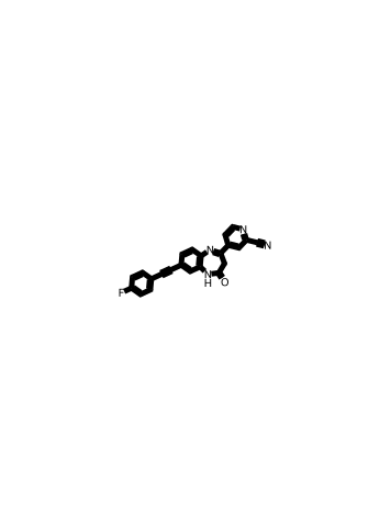 N#Cc1cc(C2=Nc3ccc(C#Cc4ccc(F)cc4)cc3NC(=O)C2)ccn1